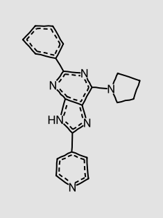 c1ccc(-c2nc(N3CCCC3)c3nc(-c4ccncc4)[nH]c3n2)cc1